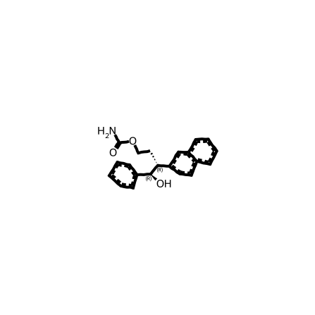 NC(=O)OCC[C@H](c1ccc2ccccc2c1)[C@@H](O)c1ccccc1